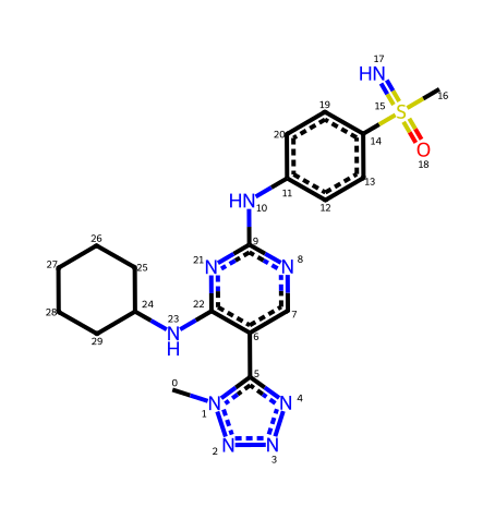 Cn1nnnc1-c1cnc(Nc2ccc(S(C)(=N)=O)cc2)nc1NC1CCCCC1